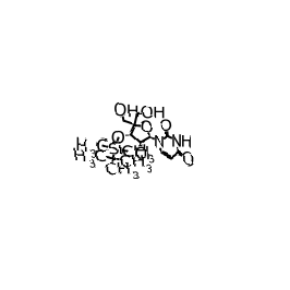 CC(C)(C)[Si](C)(C)O[C@H]1[C@H](Cl)[C@H](n2ccc(=O)[nH]c2=O)OC1(CO)CO